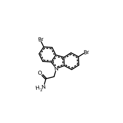 NC(=O)Cn1c2ccc(Br)cc2c2cc(Br)ccc21